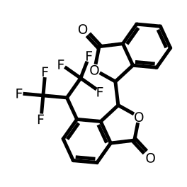 O=C1OC(C2OC(=O)c3cccc(C(C(F)(F)F)C(F)(F)F)c32)c2ccccc21